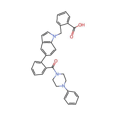 O=C(O)c1ccccc1Cn1ccc2cc(-c3ccccc3C(=O)N3CCN(c4ccccc4)CC3)ccc21